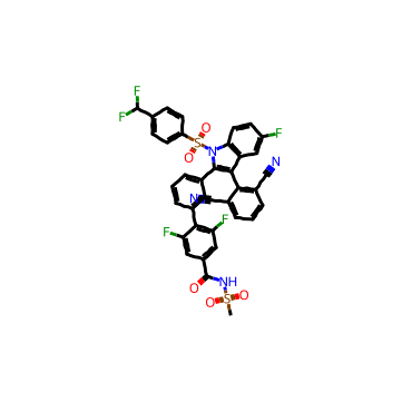 CS(=O)(=O)NC(=O)c1cc(F)c(-c2cccc(-c3c(-c4c(C#N)cccc4C#N)c4cc(F)ccc4n3S(=O)(=O)c3ccc(C(F)F)cc3)c2)c(F)c1